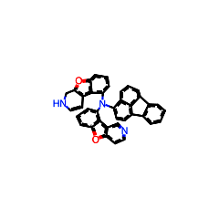 C1=Cc2c(oc3cccc(N(c4ccc5c6c(cccc46)-c4ccccc4-5)c4cccc5oc6ccncc6c45)c23)CN1